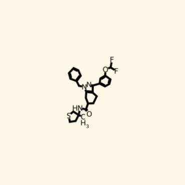 CC1(NC(=O)C2CCc3c(-c4cccc(OC(F)F)c4)nn(Cc4ccccc4)c3C2)CCSC1